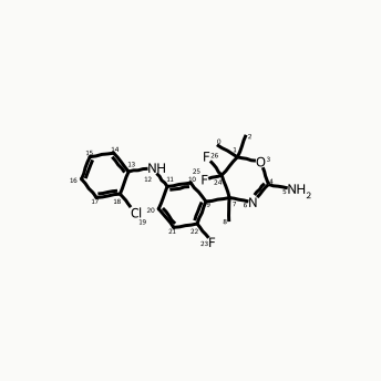 CC1(C)OC(N)=NC(C)(c2cc(Nc3ccccc3Cl)ccc2F)C1(F)F